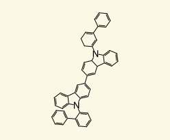 C1=CC2C(C=C1c1ccc3c(c1)c1ccccc1n3-c1ccccc1-c1ccccc1)c1ccccc1N2C1=CC(c2ccccc2)=CCC1